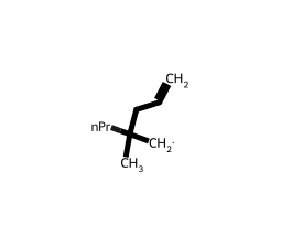 [CH2]C(C)(CC=C)CCC